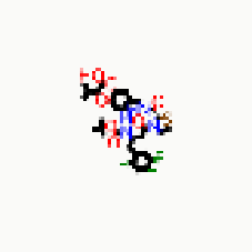 CC(C)[C@H](Oc1ccc(CNC(=O)[C@@H]2SCCN2C(=O)C[C@@H](Cc2cc(F)c(F)cc2F)NC(=O)OC(C)(C)C)cc1)C(=O)O